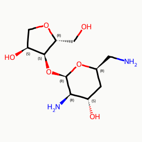 NC[C@H]1C[C@H](O)[C@@H](N)[C@@H](O[C@H]2[C@@H](O)CO[C@@H]2CO)O1